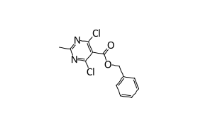 Cc1nc(Cl)c(C(=O)OCc2ccccc2)c(Cl)n1